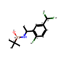 CC(N[S@+]([O-])C(C)(C)C)c1cc(C(F)F)ccc1F